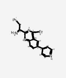 CCc1nc(C(N)CC(C)C)nc2ccc(-c3ccncc3)cc12